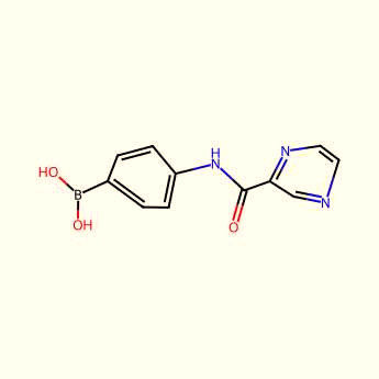 O=C(Nc1ccc(B(O)O)cc1)c1cnccn1